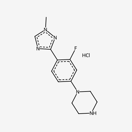 Cl.Cn1cnc(-c2ccc(N3CCNCC3)cc2F)n1